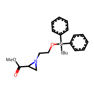 COC(=O)C1C[N@]1CCO[Si](c1ccccc1)(c1ccccc1)C(C)(C)C